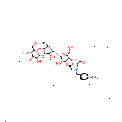 COc1ccc(CN2CC(CO)OC(OC3C(O)C(CO)OC(OCC4OC(C(C)C)C(O)C(OC5OC(CO)C(O)C(O)C5O)C4O)C3O)C2)cc1